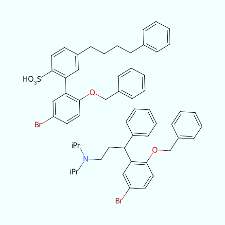 CC(C)N(CCC(c1ccccc1)c1cc(Br)ccc1OCc1ccccc1)C(C)C.O=S(=O)(O)c1ccc(CCCCc2ccccc2)cc1-c1cc(Br)ccc1OCc1ccccc1